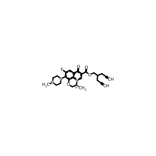 C#CCC(CC#C)COC(=O)c1cn2c3c(c(N4CCN(C)CC4)c(F)cc3c1=O)OC[C@@H]2C